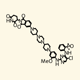 COc1cc(N2CCC(N3CCN(C4CCN(c5ccc6c(c5)C(=O)N(C5CCC(=O)NC5=O)C6=O)CC4)CC3)CC2)ccc1Nc1ncc(Cl)c(Nc2ccccc2P(C)(C)=O)n1